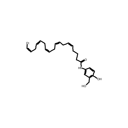 CC/C=C\C/C=C\C/C=C\C/C=C\C/C=C\CCCC(=O)Nc1ccc(O)c(CO)c1